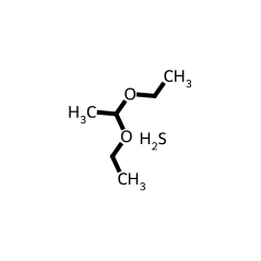 CCOC(C)OCC.S